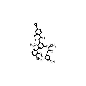 C=CC(=O)ON1C[C@H](C#N)C[C@H]1COc1c(N)ncnc1-c1cc(F)cc(NC(=O)c2ccc(C3CC3)cc2F)c1C